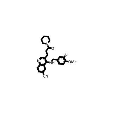 COc1ccc(CNc2c(CCC(=O)N3CCCCC3)cnc3ccc(C#N)cc23)cc1Cl